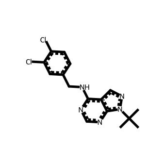 CC(C)(C)n1ncc2c(NCc3ccc(Cl)c(Cl)c3)ncnc21